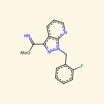 COC(=N)c1nn(Cc2ccccc2F)c2ncccc12